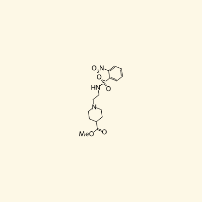 COC(=O)C1CCN(CCNS(=O)(=O)c2ccccc2[N+](=O)[O-])CC1